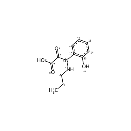 CCCNN(C(=O)C(=O)O)c1ccccc1O